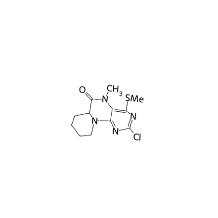 CSc1nc(Cl)nc2c1N(C)C(=O)C1CCCCN21